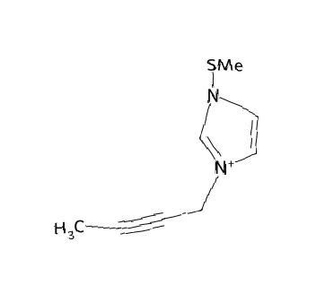 CC#CC[n+]1ccn(SC)c1